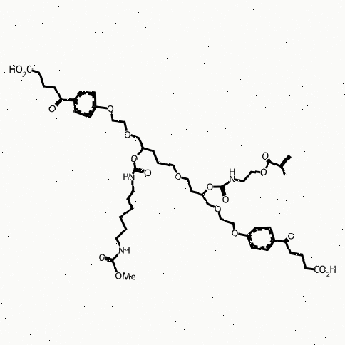 C=C(C)C(=O)OCCNC(=O)OC(CCOCCCC(COCCOc1ccc(C(=O)CCCC(=O)O)cc1)OC(=O)NCCCCCCNC(=O)OC)COCCOc1ccc(C(=O)CCCC(=O)O)cc1